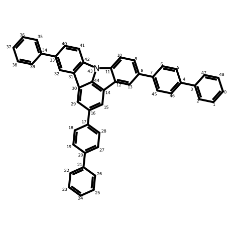 c1ccc(-c2ccc(-c3ccc4c(c3)c3cc(-c5ccc(-c6ccccc6)cc5)cc5c6cc(-c7ccccc7)ccc6n4c53)cc2)cc1